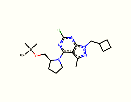 Cc1nn(CC2CCC2)c2nc(Cl)nc(N3CCC[C@H]3CO[Si](C)(C)C(C)(C)C)c12